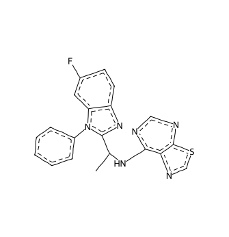 CC(Nc1ncnc2scnc12)c1nc2ccc(F)cc2n1-c1ccccc1